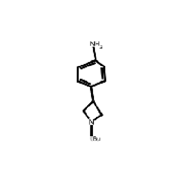 CC(C)(C)N1CC(c2ccc(N)cc2)C1